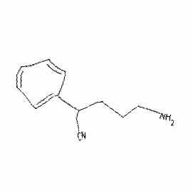 N#CC(CCCN)c1ccccc1